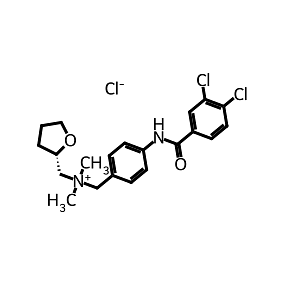 C[N+](C)(Cc1ccc(NC(=O)c2ccc(Cl)c(Cl)c2)cc1)C[C@@H]1CCCO1.[Cl-]